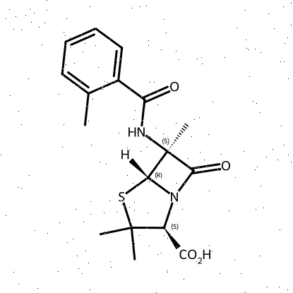 Cc1ccccc1C(=O)N[C@@]1(C)C(=O)N2[C@@H](C(=O)O)C(C)(C)S[C@@H]21